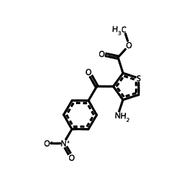 COC(=O)c1scc(N)c1C(=O)c1ccc([N+](=O)[O-])cc1